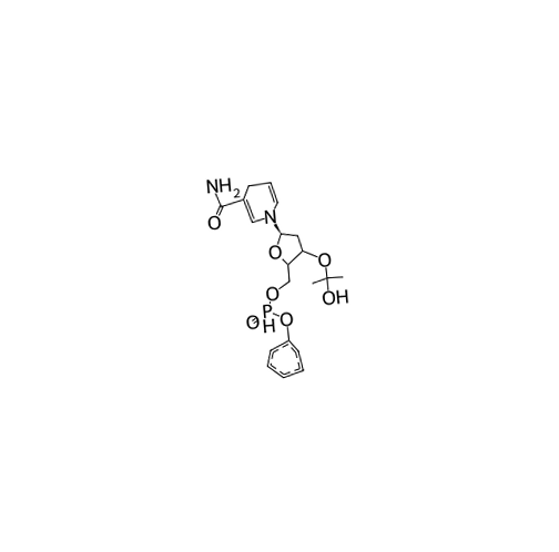 CC(C)(O)OC1C[C@H](N2C=CCC(C(N)=O)=C2)OC1CO[PH](=O)Oc1ccccc1